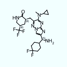 CN(c1nc2nc([C@@H](N)C3CCC(F)(F)CC3)cn2nc1C[C@H]1C[C@@H](C(F)(F)F)CNC1=O)C1CC1